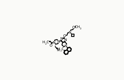 C=CC(=O)N1CCN(c2nc(OCCN(CCOC)C3CCC3)nc3c2CCN(c2cccc4cccc(C)c24)C3)C[C@@H]1CC#N